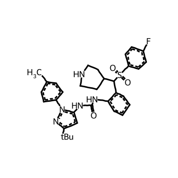 Cc1ccc(-n2nc(C(C)(C)C)cc2NC(=O)Nc2ccccc2C(C2CCNCC2)S(=O)(=O)c2ccc(F)cc2)cc1